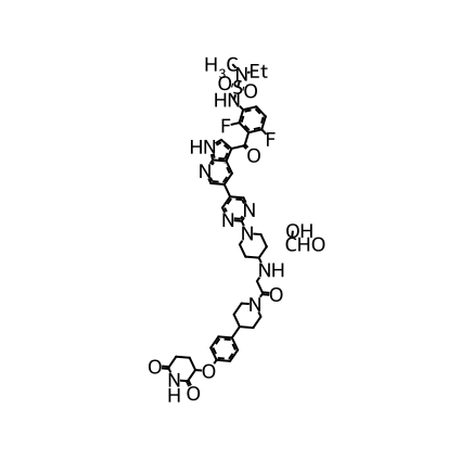 CCN(C)S(=O)(=O)Nc1ccc(F)c(C(=O)c2c[nH]c3ncc(-c4cnc(N5CCC(NCC(=O)N6CCC(c7ccc(OC8CCC(=O)NC8=O)cc7)CC6)CC5)nc4)cc23)c1F.O=CO